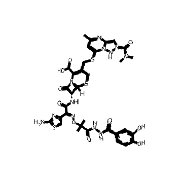 CC1=NC2=CN(C(=O)N(C)C)NN2C(SCC2=C(C(=O)O)N3C(=O)[C@@H](NC(=O)C(=NOC(C)(C)C(=O)NNC(=O)c4ccc(O)c(O)c4)c4csc(N)n4)[C@H]3SC2)=C1